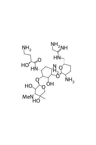 CN[C@@H]1C(O)[C@@H](OC2C(O)C(O[C@H]3O[C@H](CNC(=N)CN)CCC3N)[C@@H](N)C[C@H]2NC(=O)[C@@H](O)CCN)OCC1(C)O